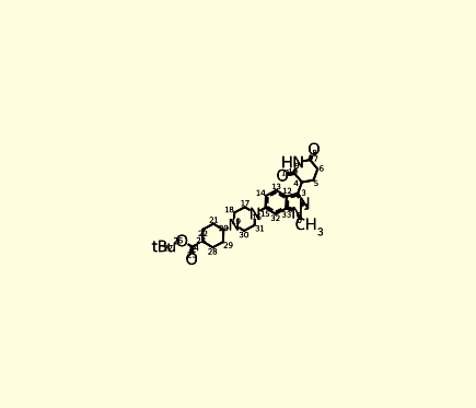 Cn1nc(C2CCC(=O)NC2=O)c2ccc(N3CCN([C@H]4CC[C@H](C(=O)OC(C)(C)C)CC4)CC3)cc21